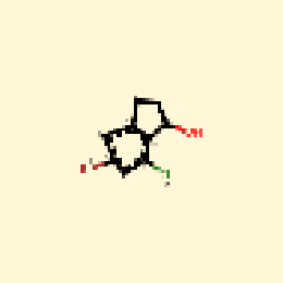 OC1CCc2cc(Br)cc(Cl)c21